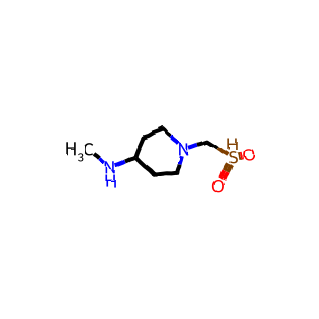 CNC1CCN(C[SH](=O)=O)CC1